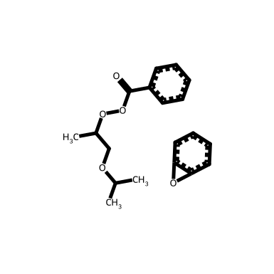 CC(C)OCC(C)OOC(=O)c1ccccc1.c1ccc2c(c1)O2